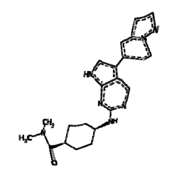 CN(C)C(=O)[C@H]1CC[C@@H](Nc2ncc3c(-c4ccn5nccc5c4)c[nH]c3n2)CC1